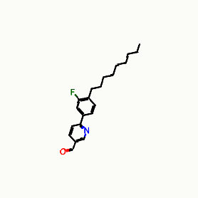 CCCCCCCCCc1ccc(-c2ccc(C=O)cn2)cc1F